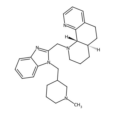 CN1CCCC(Cn2c(CN3CCC[C@@H]4CCc5cccnc5[C@H]43)nc3ccccc32)C1